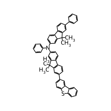 CC1(C)c2cc(-c3ccccc3)ccc2-c2ccc(N(c3ccccc3)c3ccc4c(c3)C(C)(C)c3cc(-c5ccc6sc7ccccc7c6c5)ccc3-4)cc21